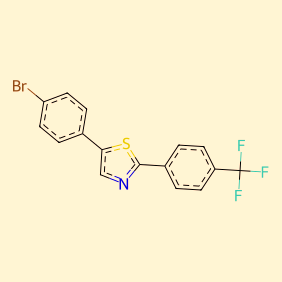 FC(F)(F)c1ccc(-c2ncc(-c3ccc(Br)cc3)s2)cc1